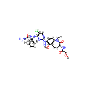 CCN1C(=O)[C@H](NC(=O)COC)CCc2c1ccc(Nc1ncc(Cl)c(N[C@H]3[C@@H](C(N)=O)[C@@H]4C=C[C@H]3C4)n1)c2OC